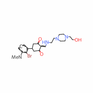 CNc1cccc(C2CC(=O)C(=CNCCN3CCN(CCO)CC3)C(=O)C2)c1Br